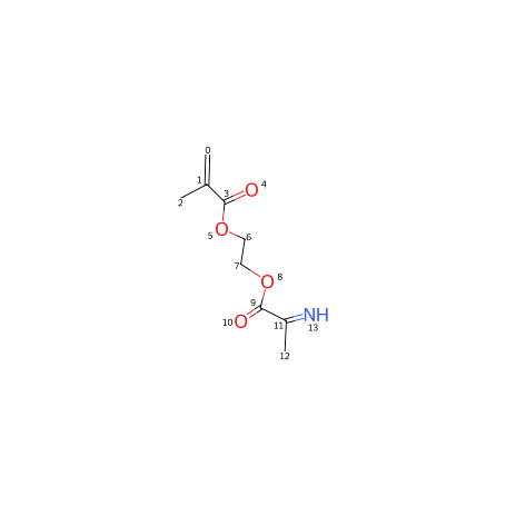 C=C(C)C(=O)OCCOC(=O)C(C)=N